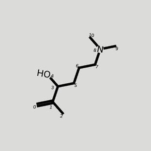 C=C(C)C(O)CCCN(C)C